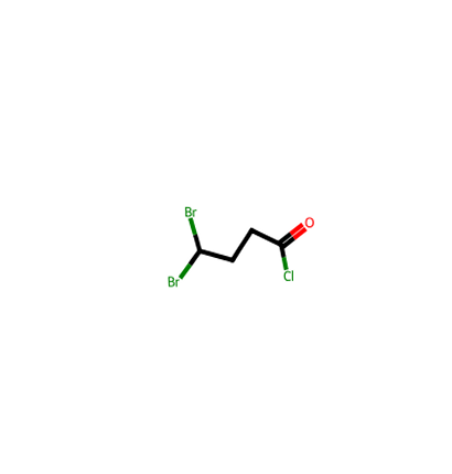 O=C(Cl)CCC(Br)Br